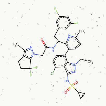 Cc1ccc(-c2ccc(Cl)c3c(NS(=O)(=O)C4CC4)nn(CC(F)(F)F)c23)c([C@H](Cc2cc(F)cc(F)c2)NC(=O)Cn2nc(C(F)(F)F)c3c2C(F)(F)CC3)n1